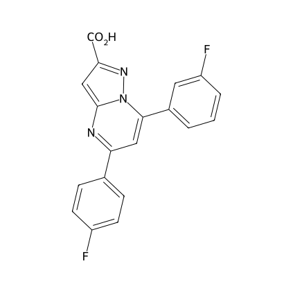 O=C(O)c1cc2nc(-c3ccc(F)cc3)cc(-c3cccc(F)c3)n2n1